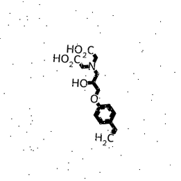 C=Cc1ccc(OCC(O)CN(CC(=O)O)CC(=O)O)cc1